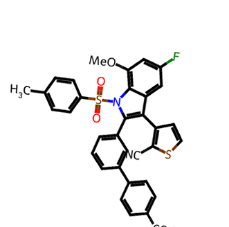 COc1cc(F)cc2c(-c3ccsc3C#N)c(-c3cccc(-c4ccc(C(=O)O)cc4)c3)n(S(=O)(=O)c3ccc(C)cc3)c12